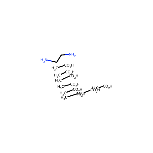 CC(=O)O.CC(=O)O.CC(=O)O.CC(=O)O.CC(=O)O.CC(=O)O.CC(=O)O.CC(=O)O.NCCN